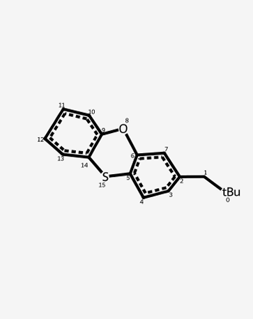 CC(C)(C)Cc1ccc2c(c1)Oc1ccccc1S2